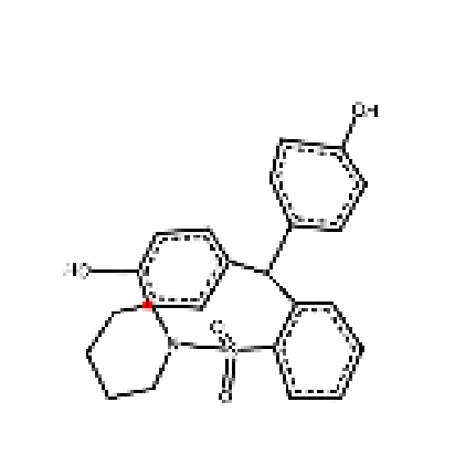 O=S(=O)(c1ccccc1C(c1ccc(O)cc1)c1ccc(O)cc1)N1CCCCC1